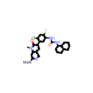 CNc1cc2c(cn1)cc(-c1cc(NC(=O)Nc3cccc4ccccc34)c(F)cc1Cl)c(=O)n2C